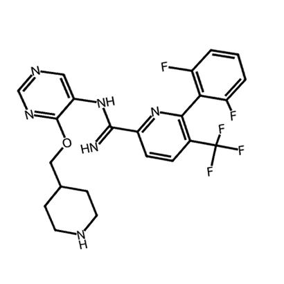 N=C(Nc1cncnc1OCC1CCNCC1)c1ccc(C(F)(F)F)c(-c2c(F)cccc2F)n1